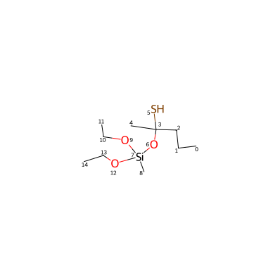 CCCC(C)(S)O[Si](C)(OCC)OCC